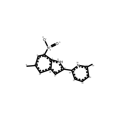 Cc1cc([N+](=O)[O-])c2[nH]c(-c3cccc(C)n3)cc2c1